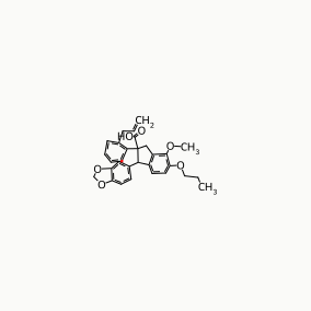 C=CCc1ccccc1C1(C(=O)O)Cc2c(ccc(OCCC)c2OC)C1c1ccc2c(c1)OCO2